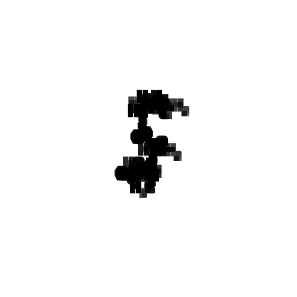 CCCCCCN(CCCNC(CCc1ccc(CCCCNC(=N)NC(=O)c2nc(Cl)c(N)nc2N)c2ccccc12)C(N)=O)CC(O)C(O)[C@@H]1OC(c2ccccc2)OC[C@H]1O